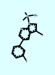 Cc1cn([Si](C)(C)C(C)(C)C)c2ncc(-c3cccc(F)c3)cc12